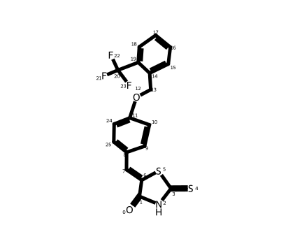 O=C1NC(=S)S/C1=C\c1ccc(OCc2ccccc2C(F)(F)F)cc1